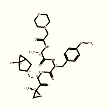 COc1ccc(C[C@H](NC(=O)[C@H](C)NC(=O)CN2CCOCC2)C(=O)N[C@@H](C[C@H]2CC3C[C@H]3C2)C(=O)[C@@]2(C)CO2)cc1